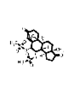 C[C@]12CCC(=O)C=C1[C@@H](OS(C)(=O)=O)[C@@H](OS(C)(=O)=O)[C@@H]1[C@@H]2CC[C@]2(C)C(=O)CC[C@@H]12